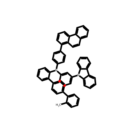 Cc1ccccc1-c1ccc(-c2ccccc2N(c2ccc(-c3cccc4c3ccc3ccccc34)cc2)c2cccc(-n3c4ccccc4c4ccccc43)c2)cc1